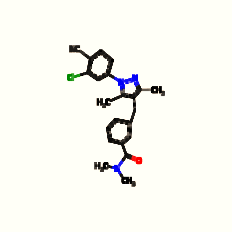 Cc1nn(-c2ccc(C#N)c(Cl)c2)c(C)c1Cc1cccc(C(=O)N(C)C)c1